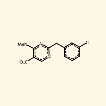 CNc1nc(Cc2cccc(Cl)c2)ncc1C(=O)O